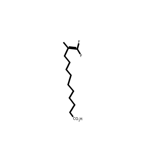 CC(CCCCCCCCCC(=O)O)=C(F)F